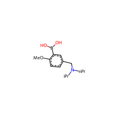 CCCN(Cc1ccc(OC)c(B(O)O)c1)C(C)C